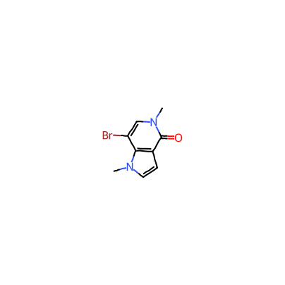 Cn1cc(Br)c2c(ccn2C)c1=O